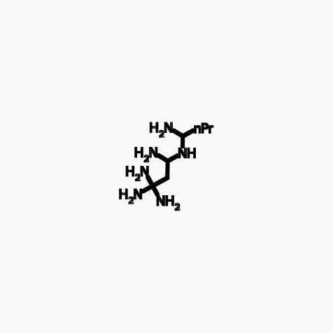 CCCC(N)NC(N)CC(N)(N)N